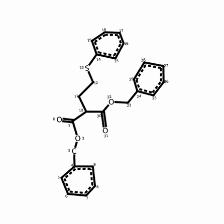 O=C(OCc1ccccc1)C(CCSc1ccccc1)C(=O)OCc1ccccc1